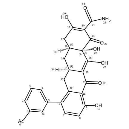 CC(=O)c1cccc(-c2ccc(O)c3c2C[C@H]2C[C@H]4CC(O)=C(C(N)=O)C(=O)[C@@]4(O)C(O)=C2C3=O)c1